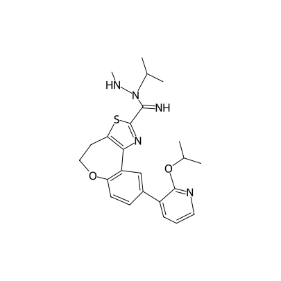 CNN(C(=N)c1nc2c(s1)CCOc1ccc(-c3cccnc3OC(C)C)cc1-2)C(C)C